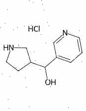 Cl.OC(c1cccnc1)C1CCNC1